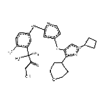 Cc1ccc(Nc2cc(Oc3cn(C4CCC4)nc3C3CCOCC3)ccn2)cc1C(C)(C)C(=O)CO